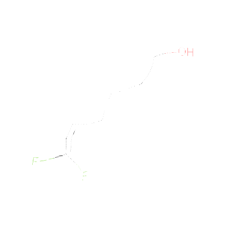 OCCCCC=C(F)F